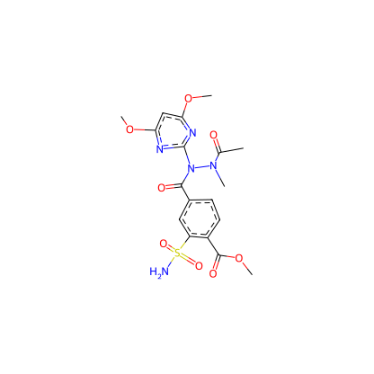 COC(=O)c1ccc(C(=O)N(c2nc(OC)cc(OC)n2)N(C)C(C)=O)cc1S(N)(=O)=O